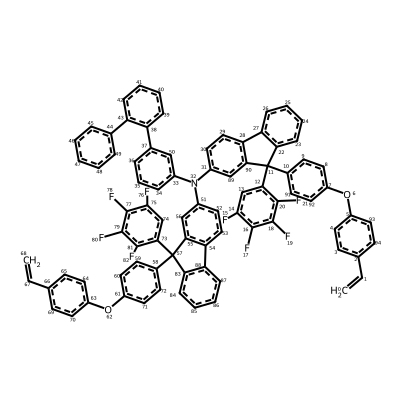 C=Cc1ccc(Oc2ccc(C3(c4cc(F)c(F)c(F)c4F)c4ccccc4-c4ccc(N(c5cccc(-c6ccccc6-c6ccccc6)c5)c5ccc6c(c5)C(c5ccc(Oc7ccc(C=C)cc7)cc5)(c5cc(F)c(F)c(F)c5F)c5ccccc5-6)cc43)cc2)cc1